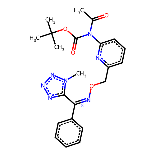 CC(=O)N(C(=O)OC(C)(C)C)c1cccc(CO/N=C(/c2ccccc2)c2nnnn2C)n1